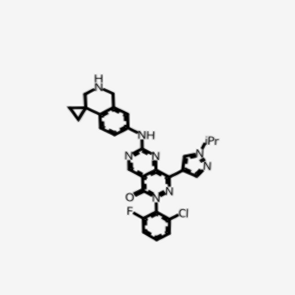 CC(C)n1cc(-c2nn(-c3c(F)cccc3Cl)c(=O)c3cnc(Nc4ccc5c(c4)CNCC54CC4)nc23)cn1